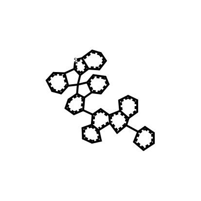 c1ccc(-c2cc3c4ccccc4c(-c4cccc5c4-c4ccccc4C54c5ccccc5-c5sc6ccccc6c54)cc3c3ccccc23)cc1